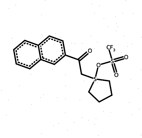 O=C(CS1(OS(=O)(=O)C(F)(F)F)CCCC1)c1ccc2ccccc2c1